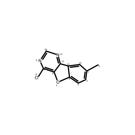 Cc1ccc2oc3c(Cl)ncnc3c2c1